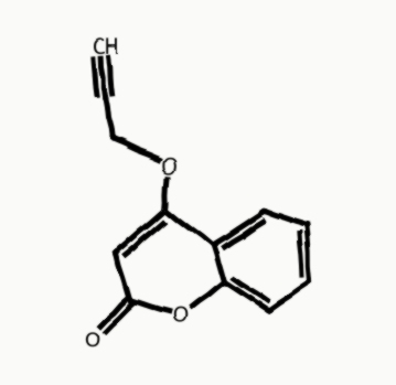 C#CCOc1cc(=O)oc2ccccc12